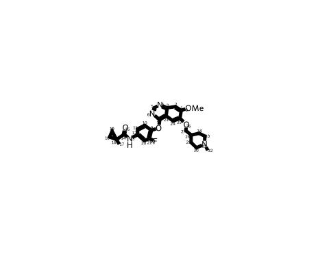 COc1cc2ncnc(Oc3ccc(NC(=O)C4(C)CC4)cc3F)c2cc1OCC1CCN(C)CC1